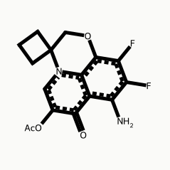 CC(=O)Oc1cn2c3c(c(F)c(F)c(N)c3c1=O)OCC21CCC1